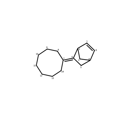 C1=CC2CC1CC2=C1CCCCCCC1